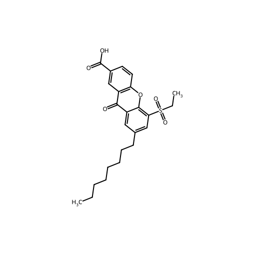 CCCCCCCCc1cc(S(=O)(=O)CC)c2oc3ccc(C(=O)O)cc3c(=O)c2c1